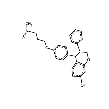 CN(C)CCCOc1ccc(C2c3ccc(O)cc3OCC2c2ccccc2)cc1